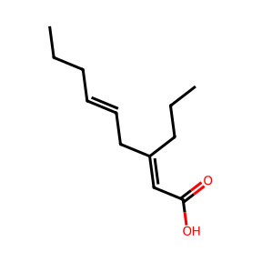 CCCC=CC/C(=C/C(=O)O)CCC